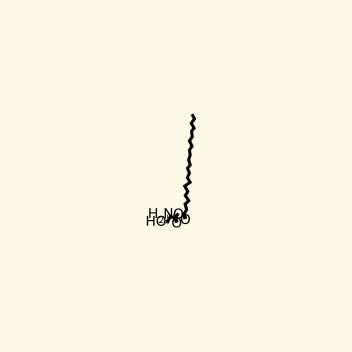 CCCCCCCCCCCCCCCCCCCCCCC(=O)OC(=O)[C@@H](N)CO